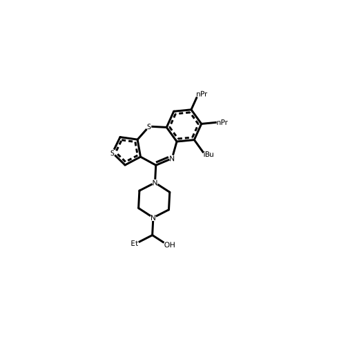 CCCc1cc2c(c(C(C)CC)c1CCC)N=C(N1CCN(C(O)CC)CC1)c1cscc1S2